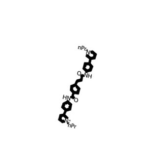 CCC[n+]1cccc(-c2ccc(NC(=O)C=Cc3ccc(C(=O)Nc4ccc(-c5ccc[n+](CCC)c5)cc4)cc3)cc2)c1